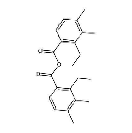 CCc1c(C(=O)OC(=O)c2ccc(C)c(C)c2CC)ccc(C)c1C